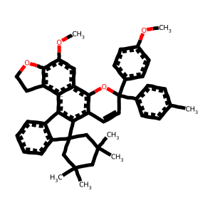 COc1ccc(C2(c3ccc(C)cc3)C=Cc3c4c(c5c6c(c(OC)cc5c3O2)OCC6)-c2ccccc2C42CC(C)(C)CC(C)(C)C2)cc1